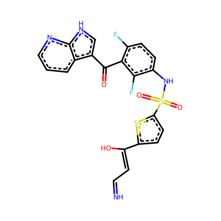 N=C/C=C(\O)c1ccc(S(=O)(=O)Nc2ccc(F)c(C(=O)c3c[nH]c4ncccc34)c2F)s1